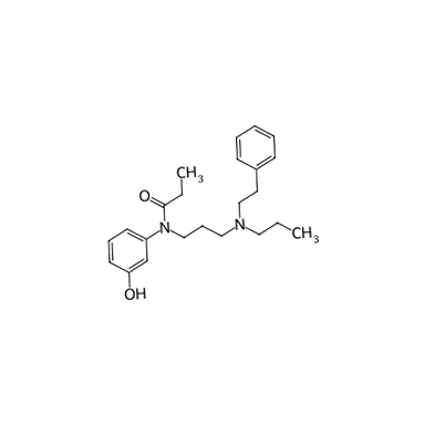 CCCN(CCCN(C(=O)CC)c1cccc(O)c1)CCc1ccccc1